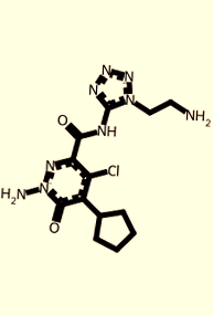 NCCn1nnnc1NC(=O)c1nn(N)c(=O)c(C2CCCC2)c1Cl